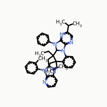 C=CC1(CC)c2ccccc2N2c3ncc(C(C)C)nc3N(c3ccccc3)C2C1(CC)CC1N(C)c2cccnc2N1c1ccccc1C